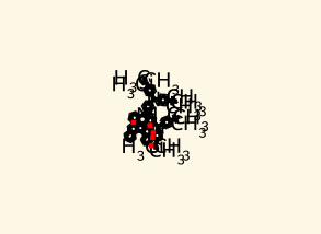 CC(C)(C)c1ccc(N(c2ccc([Si](C)(C)C)cc2)c2ccc3c(c2)c2cc(N(c4ccc(C(C)(C)C)cc4)c4ccc([Si](C)(C)C)cc4)cc4c2n3-c2ccccc2C42c3ccc4ccccc4c3-c3c2ccc2ccccc32)cc1